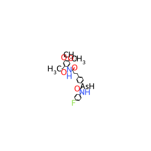 COc1cc(NC(=O)CCc2ccc([AsH]C(=O)Nc3ccc(F)cc3)cc2)c(C(C)=O)cc1OC